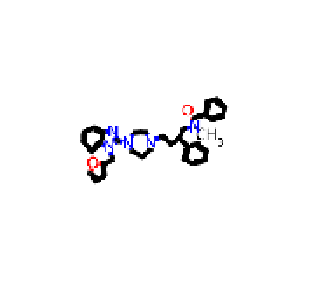 CN(CC(CCN1CCCN(c2nc3ccccc3n2Cc2ccco2)CC1)c1ccccc1)C(=O)c1ccccc1